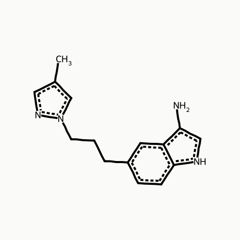 Cc1cnn(CCCc2ccc3[nH]cc(N)c3c2)c1